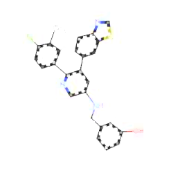 Cc1cc(-c2ncc(NCc3cccc(O)c3)cc2-c2ccc3ncsc3c2)ccc1F